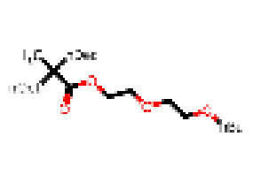 CCCCCCCCCCC(C)(CCCCCCCC)C(=O)OCCOCCOCCCC